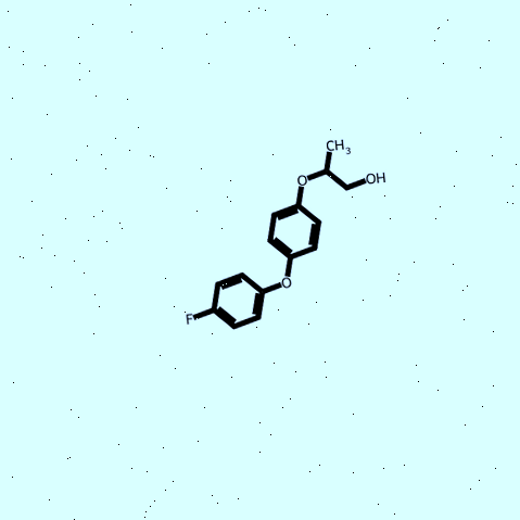 CC(CO)Oc1ccc(Oc2ccc(F)cc2)cc1